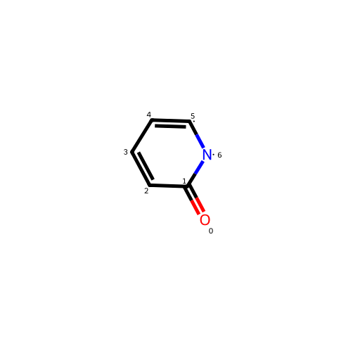 O=C1C=CC=[C][N]1